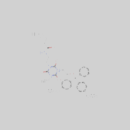 CCCn1c(=O)n(CCNC(=O)CCC(=O)O)c(=O)n(CCOC(c2ccccc2)(c2ccc(OC)cc2)c2ccc(OC)cc2)c1=O